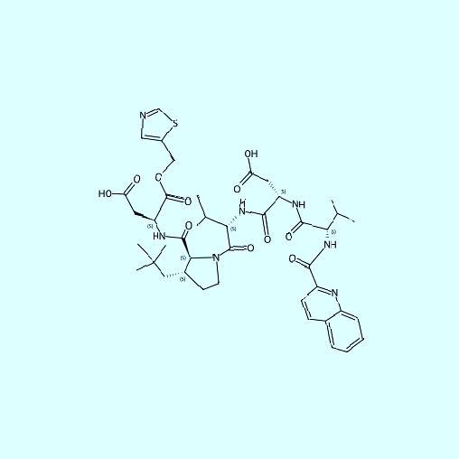 CC(C)[C@H](NC(=O)c1ccc2ccccc2n1)C(=O)N[C@@H](CC(=O)O)C(=O)N[C@H](C(=O)N1CC[C@H](CC(C)(C)C)[C@H]1C(=O)N[C@@H](CC(=O)O)C(=O)OCc1cncs1)C(C)C